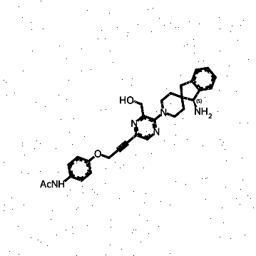 CC(=O)Nc1ccc(OCC#Cc2cnc(N3CCC4(CC3)Cc3ccccc3[C@H]4N)c(CO)n2)cc1